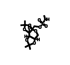 CNS(=O)(=O)OC[C@@]12OC[C@H]3OC(C)(C)O[C@H]3[C@@H]1OC(C)(C)O2